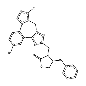 O=C1OC[C@H](Cc2ccccc2)N1Cc1nc2n(n1)Cc1c(Cl)ncn1-c1ccc(Br)cc1-2